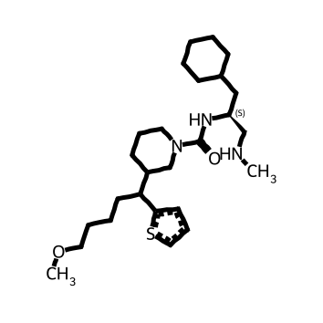 CNC[C@H](CC1CCCCC1)NC(=O)N1CCCC(C(CCCCOC)c2cccs2)C1